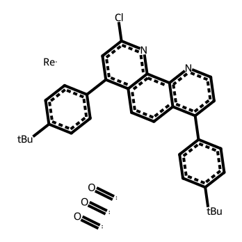 CC(C)(C)c1ccc(-c2ccnc3c2ccc2c(-c4ccc(C(C)(C)C)cc4)cc(Cl)nc23)cc1.[C]=O.[C]=O.[C]=O.[Re]